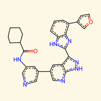 O=C(Nc1cncc(-c2cnc3[nH]nc(-c4nc5c(-c6ccoc6)cccc5[nH]4)c3c2)c1)C1CCCCC1